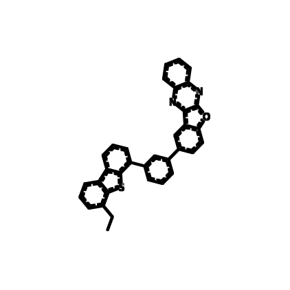 CCc1cccc2c1sc1c(-c3cccc(-c4ccc5oc6nc7ccccc7nc6c5c4)c3)cccc12